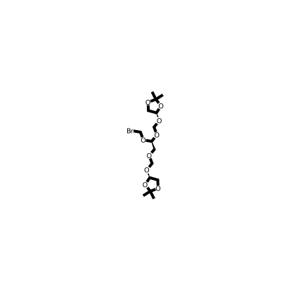 CC1(C)OC[C@@H](OCOC[C@@H](OCBr)OCO[C@@H]2COC(C)(C)O2)O1